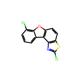 Clc1nc2c(ccc3oc4c(Cl)cccc4c32)s1